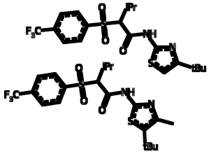 CC(C)C(C(=O)Nc1nc(C(C)(C)C)cs1)S(=O)(=O)c1ccc(C(F)(F)F)cc1.Cc1nc(NC(=O)C(C(C)C)S(=O)(=O)c2ccc(C(F)(F)F)cc2)sc1C(C)(C)C